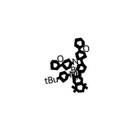 CC(C)(C)c1ccc(Nc2cc3c(cc2-c2ccc4c5cc6oc7ccccc7c6cc5n5c4c2Bc2cc4c(cc2-5)oc2ccccc24)C(C)(C)CCC3(C)C)cc1